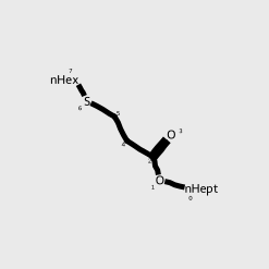 CCCCCCCOC(=O)CCSCCCCCC